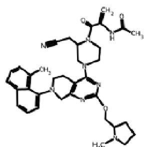 C=C(NC(C)=O)C(=O)N1CCN(c2nc(OCC3CCCN3C)nc3c2CCN(c2cccc4cccc(C)c24)C3)CC1CC#N